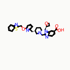 O=C(O)c1ccc2nc(CN3CCC[C@@H](Cc4cccc(OCc5nc6ccccc6s5)n4)C3)n(C[C@@H]3CCO3)c2c1